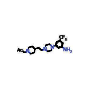 CC(=O)CN1CCC(CCN2CCN(c3cc(N)cc(C(F)(F)F)c3)CC2)CC1